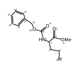 COC(=O)C(CCBr)NC(=O)OCc1ccccc1